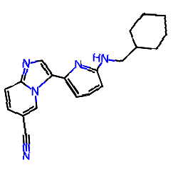 N#Cc1ccc2ncc(-c3cccc(NCC4CCCCC4)n3)n2c1